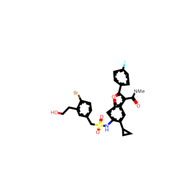 CNC(=O)c1c(-c2ccc(F)cc2)oc2cc(NS(=O)(=O)Cc3ccc(Br)c(CCO)c3)c(C3CC3)cc12